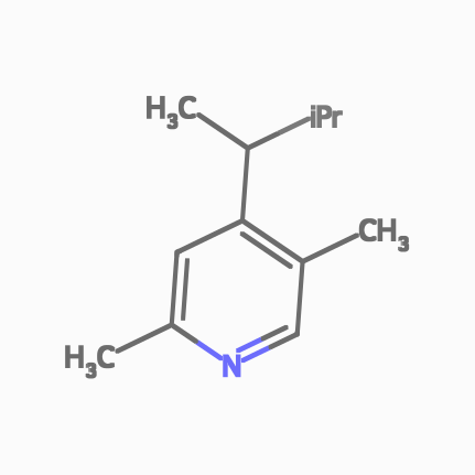 Cc1cc(C(C)C(C)C)c(C)cn1